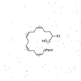 CCCCC/C=C\C/C=C\C/C=C\C/C=C\CCC(CC)C(=O)O